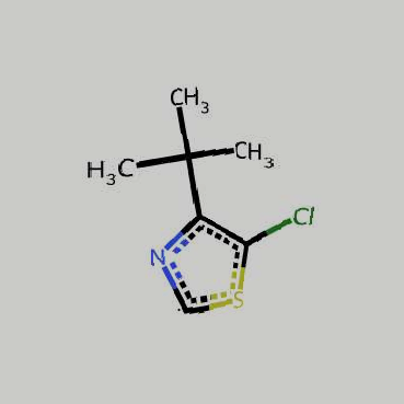 CC(C)(C)c1n[c]sc1Cl